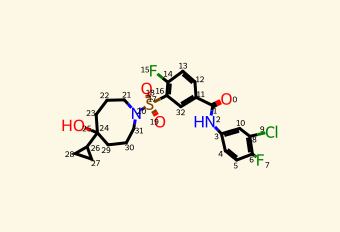 O=C(Nc1ccc(F)c(Cl)c1)c1ccc(F)c(S(=O)(=O)N2CCCC(O)(C3CC3)CCC2)c1